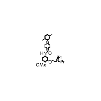 COc1ccc(NC(=O)N2CCN(c3cc(C)ccc3C)CC2)cc1OCCN(C(C)C)C(C)C